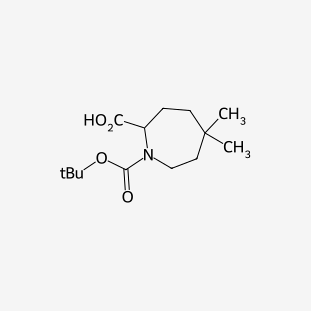 CC1(C)CCC(C(=O)O)N(C(=O)OC(C)(C)C)CC1